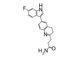 NC(=O)CCC1=Nc2ccc(-c3c[nH]c4cc(F)ccc34)cc2CC1